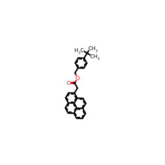 CC(C)(C)c1ccc(COC(=O)Cc2ccc3ccc4cccc5ccc2c3c45)cc1